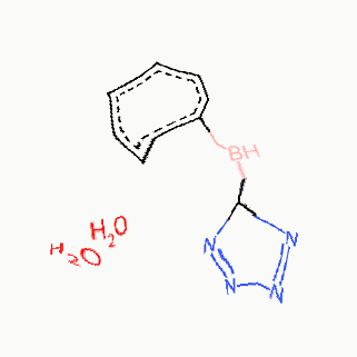 B(c1ccccc1)C1N=NN=N1.O.O